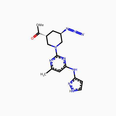 COC(=O)[C@@H]1C[C@@H](N=[N+]=[N-])CN(c2nc(C)cc(Nc3cc[nH]n3)n2)C1